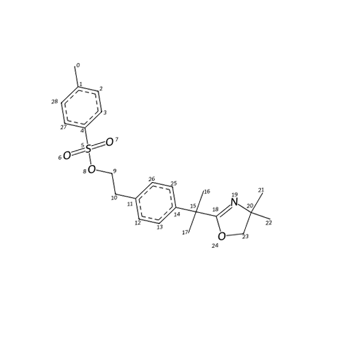 Cc1ccc(S(=O)(=O)OCCc2ccc(C(C)(C)C3=NC(C)(C)CO3)cc2)cc1